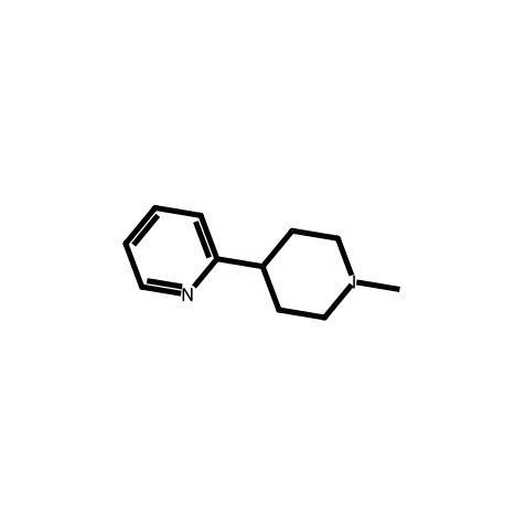 CI1CCC(c2ccccn2)CC1